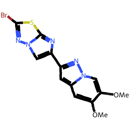 COc1cc2cc(-c3cn4nc(Br)sc4n3)nn2cc1OC